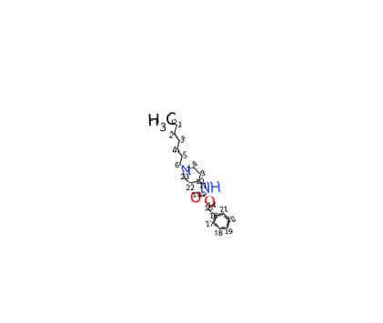 CCCCCCCN1CCC(NC(=O)OCc2ccccc2)CC1